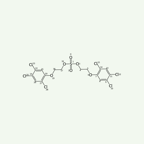 O=S(=O)(OCCOc1cc(Cl)c(Cl)cc1Cl)OCCOc1cc(Cl)c(Cl)cc1Cl